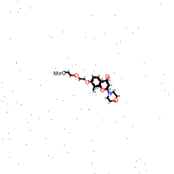 COCCOCCOc1ccc2c(=O)cc(N3CCOCC3)oc2c1C